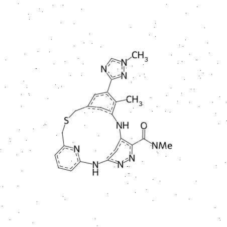 CNC(=O)c1nnc2cc1Nc1cc(cc(-c3ncn(C)n3)c1C)CSCc1cccc(n1)N2